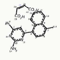 CC(C)c1cc(-c2ccc(F)c3ccccc23)nc(N)n1.O=C(O)/C=C\C(=O)O